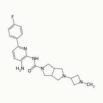 CN1CC(N2CC3CN(C(=O)Nc4nc(-c5ccc(F)cc5)ccc4N)CC3C2)C1